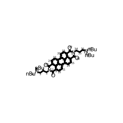 CCCCN(CCCC)CCCN1C(=O)c2ccc3c4ccc5c6c(ccc(c7ccc(c2c37)C1=O)c64)C(=O)N(CCCN(CCCC)CCCC)C5=O